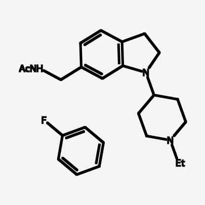 CCN1CCC(N2CCc3ccc(CNC(C)=O)cc32)CC1.Fc1ccccc1